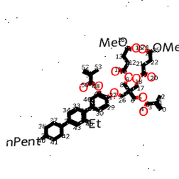 C=C(C)C(=O)OCC(COC(=O)CCC(=O)OC)(COC(=O)CCC(=O)OC)COc1ccc(-c2ccc(C3CCC(CCCCC)CC3)cc2CC)cc1OC(=O)C(=C)C